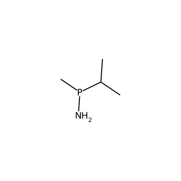 CC(C)P(C)N